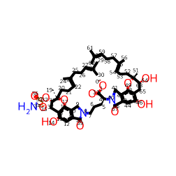 COC(=O)[C@H](CCCN1Cc2c(cc(O)c3c2O[C@](C)(CC/C=C(\C)CCC=C(C)C)[C@@H](OS(N)(=O)=O)C3)C1=O)N1Cc2c(cc(O)c3c2O[C@](C)(CC/C=C(\C)CCC=C(C)C)[C@@H](O)C3)C1=O